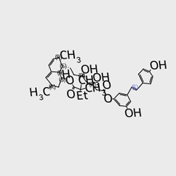 CCC(C)(C)C(=O)O[C@H]1C[C@@H](C)C=C2C=C[C@H](C)[C@H](CC[C@@H](O)C[C@@H](O)CC(=O)Oc3cc(O)cc(/C=C/c4ccc(O)cc4)c3)[C@H]21